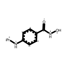 CC(C)Nc1ccc(C(=O)NO)cc1